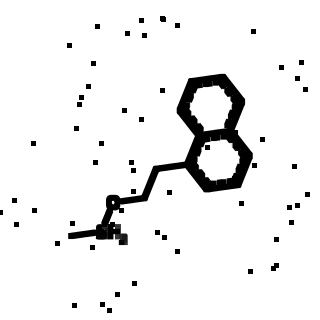 C[SiH2]OCCc1cccc2ccccc12